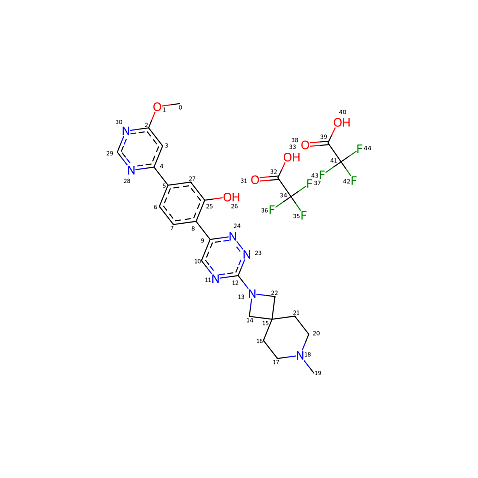 COc1cc(-c2ccc(-c3cnc(N4CC5(CCN(C)CC5)C4)nn3)c(O)c2)ncn1.O=C(O)C(F)(F)F.O=C(O)C(F)(F)F